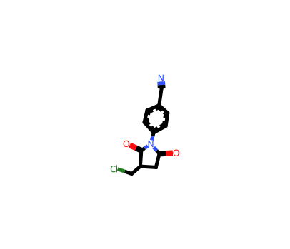 N#Cc1ccc(N2C(=O)CC(CCl)C2=O)cc1